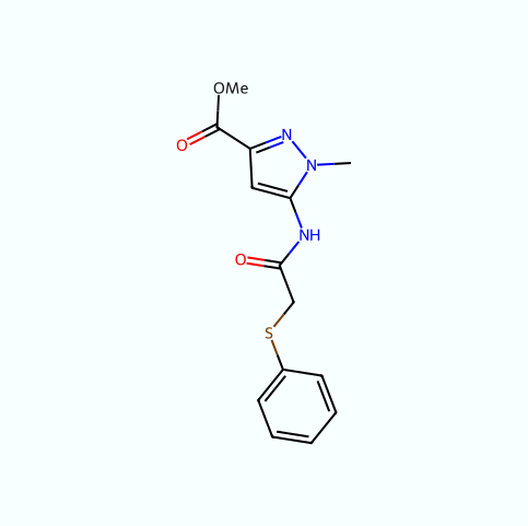 COC(=O)c1cc(NC(=O)CSc2ccccc2)n(C)n1